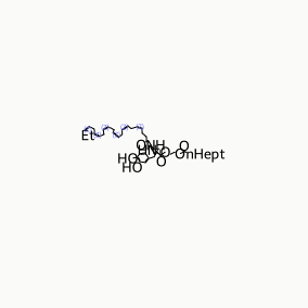 CC/C=C\C/C=C\C/C=C\C/C=C\C/C=C\C/C=C\CCC(=O)NN[C@@](C)(Cc1ccc(O)c(O)c1)C(=O)OCCOC(=O)CCCCCCC